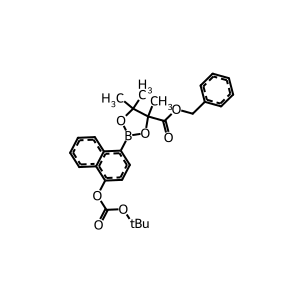 CC(C)(C)OC(=O)Oc1ccc(B2OC(C)(C)C(C)(C(=O)OCc3ccccc3)O2)c2ccccc12